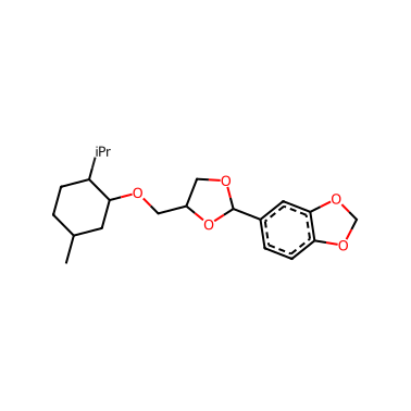 CC1CCC(C(C)C)C(OCC2COC(c3ccc4c(c3)OCO4)O2)C1